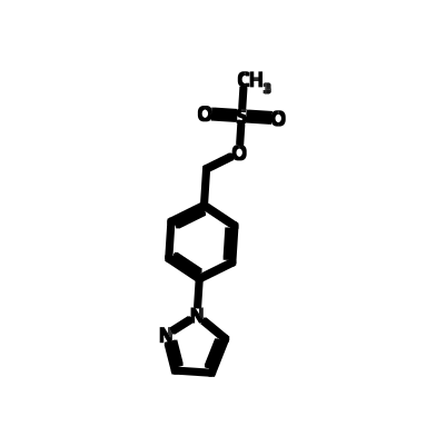 CS(=O)(=O)OCc1ccc(-n2cccn2)cc1